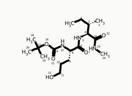 CC[C@H](C)[C@H](NC(=O)[C@H](CCCO)NC(=O)OC(C)(C)C)C(=O)NC